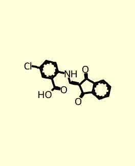 O=C(O)c1cc(Cl)ccc1NC=C1C(=O)c2ccccc2C1=O